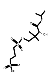 CC(C)OC(=O)[C@H](O)C(C)(C)COS(=O)(=O)CCCS(=O)(=O)O